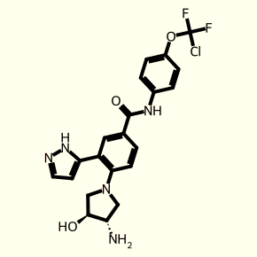 N[C@H]1CN(c2ccc(C(=O)Nc3ccc(OC(F)(F)Cl)cc3)cc2-c2ccn[nH]2)C[C@@H]1O